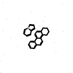 c1ccc2c(c1)ccc1c3c(ccc12)CCCC3.c1ccn2cccc2c1